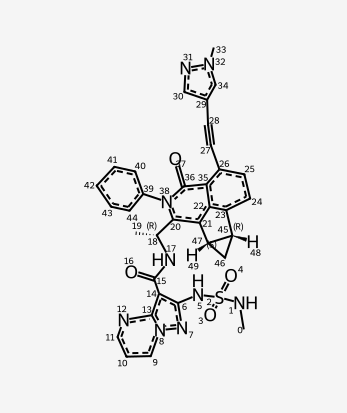 CNS(=O)(=O)Nc1nn2cccnc2c1C(=O)N[C@H](C)c1c2c3c(ccc(C#Cc4cnn(C)c4)c3c(=O)n1-c1ccccc1)[C@@H]1C[C@H]21